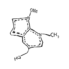 COn1ccc2c(O)cn(C)c21